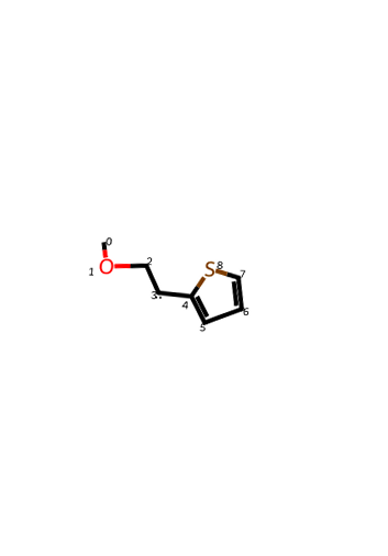 COC[C]c1cccs1